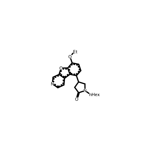 CCCCCCN1CC(c2ccc(OCC)c3oc4cnccc4c23)CC1=O